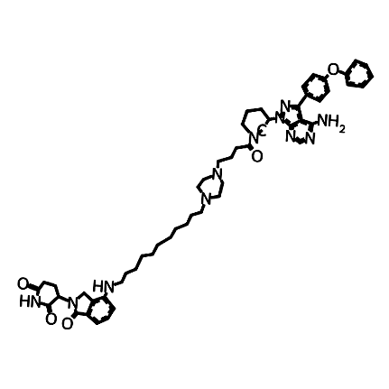 Nc1ncnc2c1c(-c1ccc(Oc3ccccc3)cc1)nn2C1CCCN(C(=O)CCCN2CCN(CCCCCCCCCCCNc3cccc4c3CN(C3CCC(=O)NC3=O)C4=O)CC2)C1